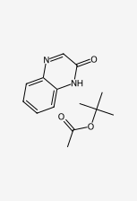 CC(=O)OC(C)(C)C.O=c1cnc2ccccc2[nH]1